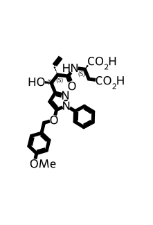 C=C[C@H](C(=O)N[C@@H](CC(=O)O)C(=O)O)[C@H](O)c1cc(OCc2ccc(OC)cc2)n(-c2ccccc2)n1